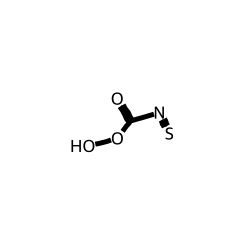 O=C(N=S)OO